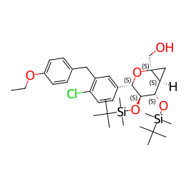 CCOc1ccc(Cc2cc([C@@H]3O[C@@]4(CO)C[C@H]4[C@H](O[Si](C)(C)C(C)(C)C)[C@H]3O[Si](C)(C)C(C)(C)C)ccc2Cl)cc1